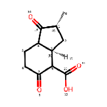 C[C@@H]1C[C@@H]2C(CCC(=O)C2C(=O)O)C1=O